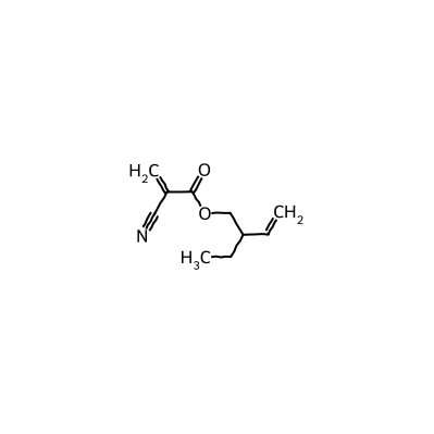 C=CC(CC)COC(=O)C(=C)C#N